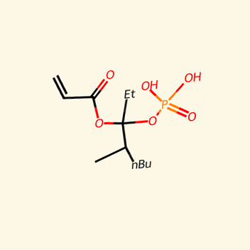 C=CC(=O)OC(CC)(OP(=O)(O)O)C(C)CCCC